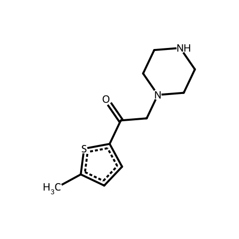 Cc1ccc(C(=O)CN2CCNCC2)s1